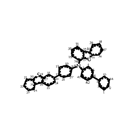 c1ccc(-c2ccc(N(c3ccc(-c4ccc5c(c4)sc4ccccc45)cc3)c3cccc4c3oc3ccccc34)cc2)cc1